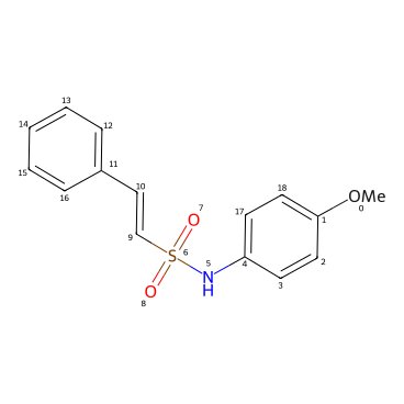 COc1ccc(NS(=O)(=O)C=Cc2ccccc2)cc1